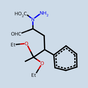 CCOC(C)(OCC)C(CC(C=O)N(N)C(=O)O)c1ccccc1